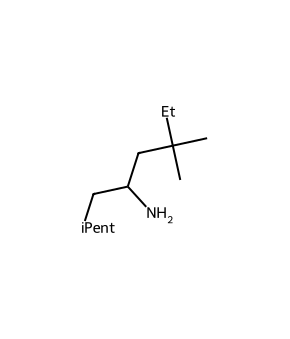 CCCC(C)CC(N)CC(C)(C)CC